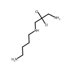 NCCCCNCC(Cl)(Cl)CN